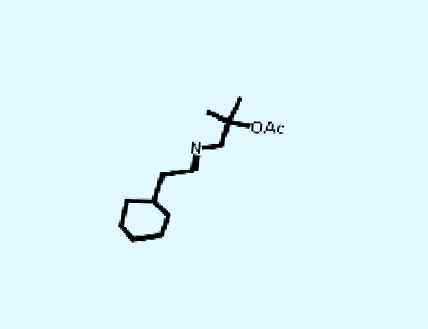 CC(=O)OC(C)(C)C/N=C/CC1CCCCC1